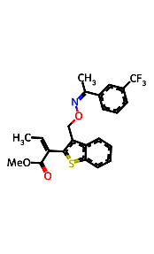 CC=C(C(=O)OC)c1sc2ccccc2c1CON=C(C)c1cccc(C(F)(F)F)c1